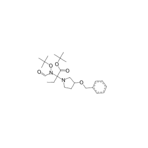 CCC(C(=O)OC(C)(C)C)(N1CCC(OCc2ccccc2)C1)N(C=O)OC(C)(C)C